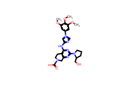 COc1cc(-n2cnc(Nc3nc(N4CCCC4CO)nc4c3CCN(C(=O)O)C4)c2)cc(OC)c1OC